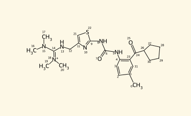 Cc1ccc(NC(=O)Nc2nc(CNC(N(C)C)=[N+](C)C)cs2)c(C(=O)C2CCCC2)c1